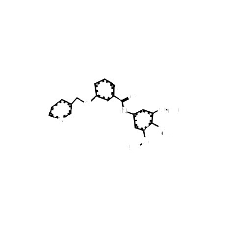 COc1cc(NC(=O)c2cccc(OCc3cccnc3)c2)cc(OC)c1OC